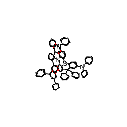 c1ccc(-c2cc(-c3ccccc3)cc(-c3cc4c5c(c3)C(c3ccccc3)(c3ccccc3)c3cc(N(c6ccccc6)c6ccccc6)ccc3B5c3ccc(N(c5ccccc5)c5ccccc5)cc3N4c3c(-c4ccccc4)cccc3-c3ccccc3)c2)cc1